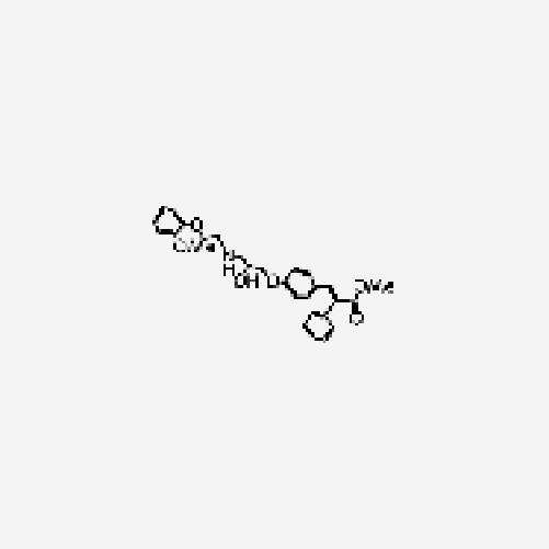 COC(=O)/C(=C/c1ccc(OCC(O)CNCCOc2ccccc2OC)cc1)c1ccccc1